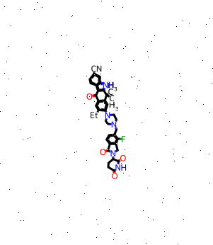 CCc1cc2c(cc1N1CCN(Cc3ccc4c(c3F)CN(C3CCC(=O)NC3=O)C4=O)CC1)C(C)(C)c1[nH]c3cc(C#N)ccc3c1C2=O